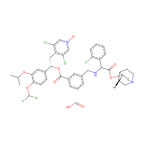 CC(C)Oc1cc([C@H](Cc2c(Cl)c[n+]([O-])cc2Cl)OC(=O)c2cccc(CNC(C(=O)O[C@H]3CN4CCC3CC4)c3ccccc3F)c2)ccc1OC(F)F.O=CO